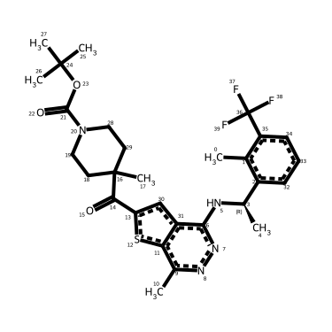 Cc1c([C@@H](C)Nc2nnc(C)c3sc(C(=O)C4(C)CCN(C(=O)OC(C)(C)C)CC4)cc23)cccc1C(F)(F)F